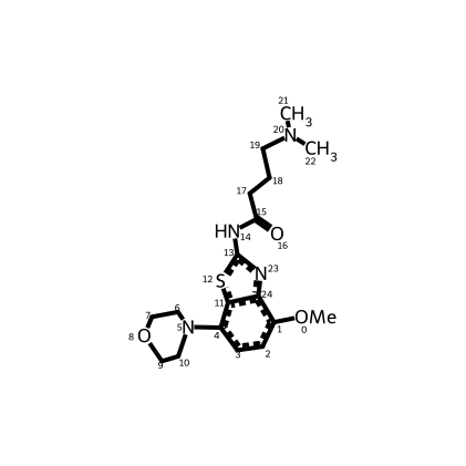 COc1ccc(N2CCOCC2)c2sc(NC(=O)CCCN(C)C)nc12